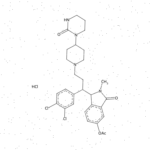 CC(=O)Oc1ccc2c(c1)C(=O)N(C)C2C(CCN1CCC(N2CCCNC2=O)CC1)c1ccc(Cl)c(Cl)c1.Cl